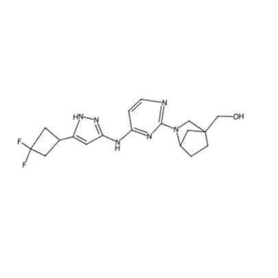 OCC12CCC(C1)N(c1nccc(Nc3cc(C4CC(F)(F)C4)[nH]n3)n1)C2